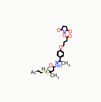 CC(=O)CCSSC(C)(C)CC(=O)N/N=C(\C)c1ccc(OCCCC(=O)ON2C(=O)CCC2=O)cc1